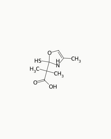 CC1=COC(S)(C(C)(C)C(=O)O)N1